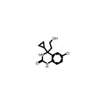 O=C1Nc2ccc(Cl)cc2C(CCO)(C2CC2)N1